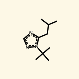 CC(C)Cc1ncnn1C(C)(C)C